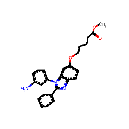 COC(=O)CCCCOc1ccc2nc(-c3ccccc3)n(-c3cccc(N)c3)c2c1